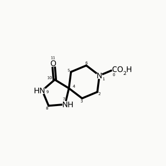 O=C(O)N1CCC2(CC1)NCNC2=O